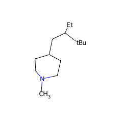 CCC(CC1CCN(C)CC1)C(C)(C)C